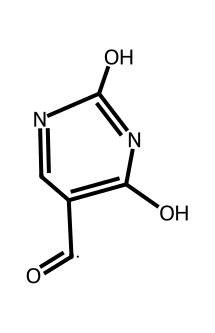 O=[C]c1cnc(O)nc1O